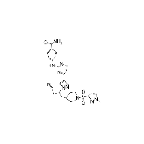 Cn1ccc(S(=O)(=O)N2CCC(CC(CC#N)n3cc(-c4ccnc(Nc5ccc(C(N)=O)cc5)n4)cn3)CC2)n1